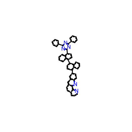 c1ccc(-c2nc(-c3ccccc3)nc(-c3ccc(-c4ccc(-c5ccc6nc7c(ccc8cccnc87)cc6c5)c5ccccc45)c4ccccc34)n2)cc1